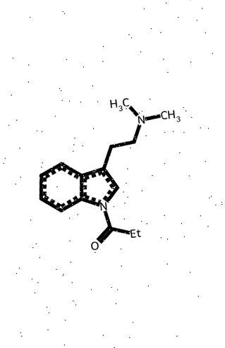 CCC(=O)n1cc(CCN(C)C)c2ccccc21